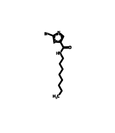 CCCCCCCCNC(=O)c1cnc(Br)s1